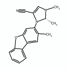 Cc1cc2c(cc1N1C(C#N)=CN(C)[C@@H]1C)oc1ccccc12